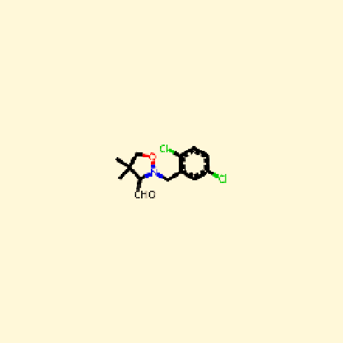 CC1(C)CON(Cc2cc(Cl)ccc2Cl)C1C=O